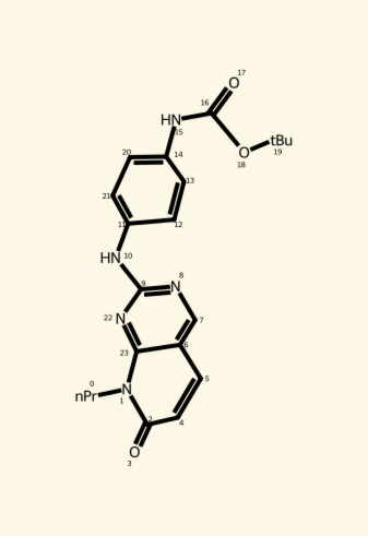 CCCn1c(=O)ccc2cnc(Nc3ccc(NC(=O)OC(C)(C)C)cc3)nc21